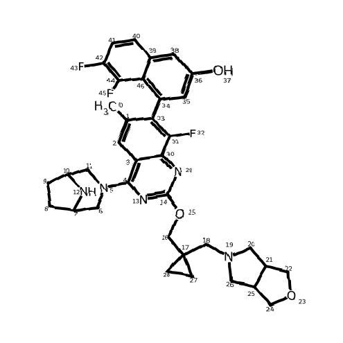 Cc1cc2c(N3CC4CCC(C3)N4)nc(OCC3(CN4CC5COCC5C4)CC3)nc2c(F)c1-c1cc(O)cc2ccc(F)c(F)c12